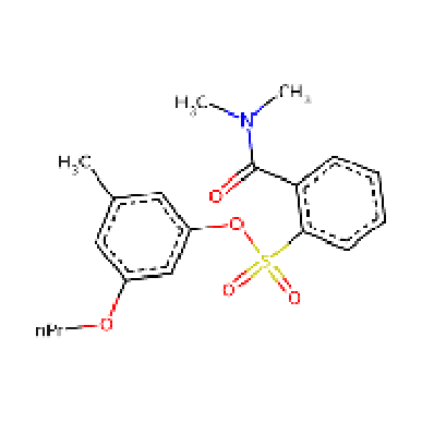 CCCOc1cc(C)cc(OS(=O)(=O)c2ccccc2C(=O)N(C)C)c1